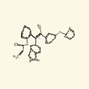 C=CC(=O)Oc1ccccc1/C(=C(\CC)c1cccc(Oc2ncccn2)c1)c1ccc2[nH]ncc2c1